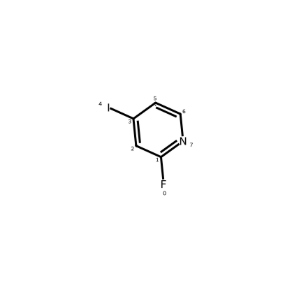 Fc1cc(I)[c]cn1